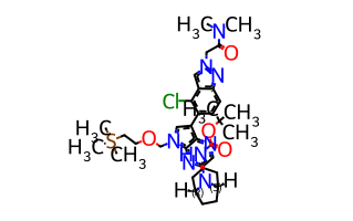 CN(C)C(=O)Cn1cc2c(Cl)c(-c3cn(COCCS(C)(C)C)c4nc(N5[C@@H]6CC[C@H]5CC(NC(=O)OC(C)(C)C)C6)cnc34)ccc2n1